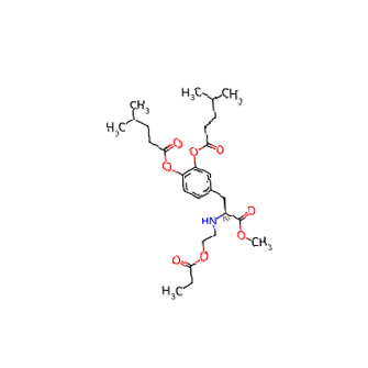 CCC(=O)OCCN[C@@H](Cc1ccc(OC(=O)CCC(C)C)c(OC(=O)CCC(C)C)c1)C(=O)OC